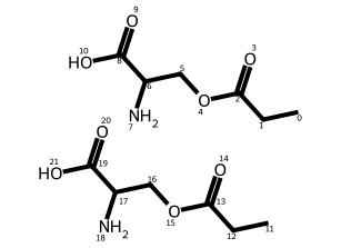 CCC(=O)OCC(N)C(=O)O.CCC(=O)OCC(N)C(=O)O